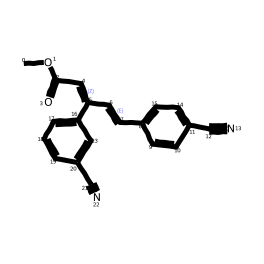 COC(=O)/C=C(/C=C/c1ccc(C#N)cc1)c1cccc(C#N)c1